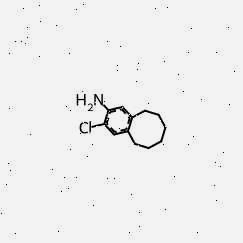 Nc1cc2c(cc1Cl)CCCCCC2